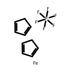 C1=CCC=C1.C1=CCC=C1.F[P-](F)(F)(F)(F)F.[Fe]